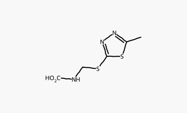 Cc1nnc(SCNC(=O)O)s1